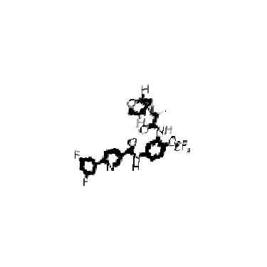 C[C@H](C(=O)Nc1cc(NC(=O)c2ccc(-c3cc(F)cc(F)c3)nc2)ccc1OC(F)(F)F)N1C[C@@H]2C[C@H]1CO2